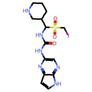 O=C(Nc1cnc2[nH]ccc2n1)NC(C1CCCNC1)S(=O)(=O)CI